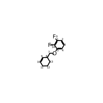 Fc1cccc(OCC2C=CCCC2)c1F